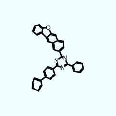 c1ccc(-c2ccc(-c3nc(-c4ccccc4)nc(-c4ccc5cc6oc7ccccc7c6cc5c4)n3)cc2)cc1